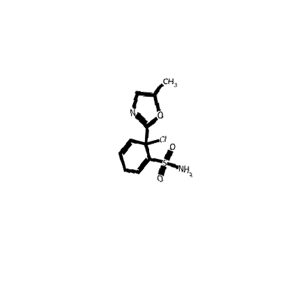 CC1CN=C(C2(Cl)C=CCC=C2S(N)(=O)=O)O1